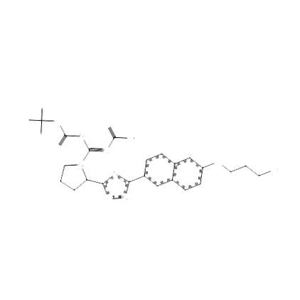 CCCCOc1ccc2cc(-c3noc(C4CCCN4C(=NC(=O)O)NC(=O)OC(C)(C)C)n3)ccc2c1